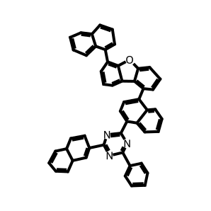 C1=CC2C=CC(c3nc(-c4ccccc4)nc(-c4ccc(-c5cccc6oc7c(-c8cccc9ccccc89)cccc7c56)c5ccccc45)n3)=CC2C=C1